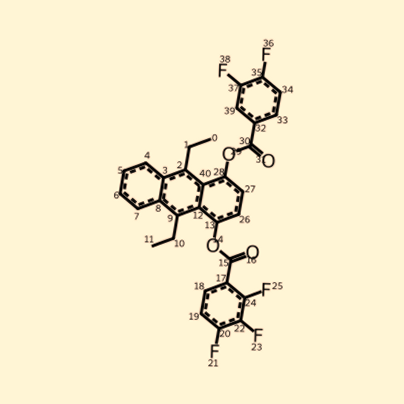 CCc1c2ccccc2c(CC)c2c(OC(=O)c3ccc(F)c(F)c3F)ccc(OC(=O)c3ccc(F)c(F)c3)c12